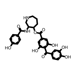 O=C(NC1CNCCCC1OC(=O)c1cc(O)c(C(=O)c2ccc(O)c(O)c2)c(O)c1)c1ccc(O)cc1